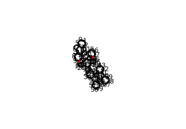 c1ccc2c(c1)Sc1cccc3c1B2c1ccccc1C31c2ccccc2B(c2ccc3c(c2)[Si]2(c4ccccc4-c4ccccc42)c2ccccc2-3)c2ccccc21